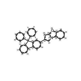 c1ccc(C2(c3ccccc3)c3ccccc3-c3ccc(-c4cn5c(n4)oc4ccccc45)cc32)cc1